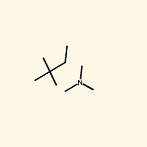 CCC(C)(C)C.CN(C)C